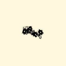 O=C(c1ccccc1)N1CC2[C@H](CNC(=O)C(O)(c3ccccc3)C3CCCC3)[C@H]2C1